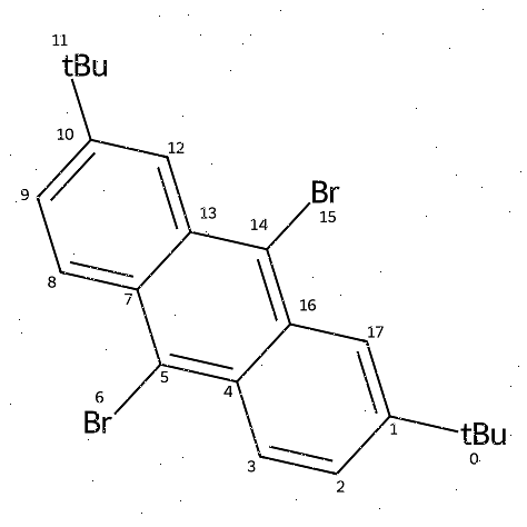 CC(C)(C)c1ccc2c(Br)c3ccc(C(C)(C)C)cc3c(Br)c2c1